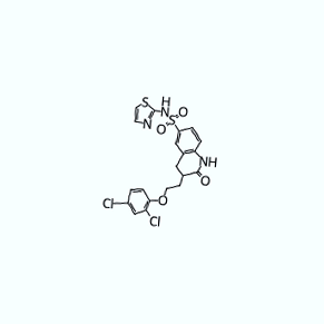 O=C1Nc2ccc(S(=O)(=O)Nc3nccs3)cc2CC1CCOc1ccc(Cl)cc1Cl